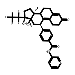 CC12C[C@H](c3ccc(C(=O)Nc4cccnc4)cc3)C3=C4CCC(=O)C=C4CCC3[C@@H]1CC[C@@]2(O)C(F)(F)C(F)(F)F